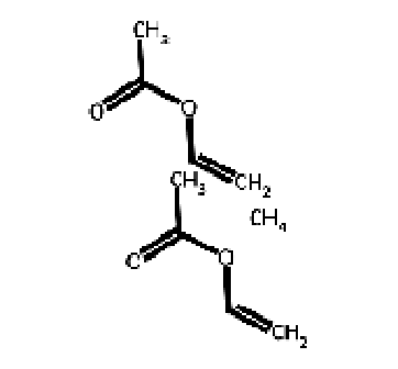 C.C=COC(C)=O.C=COC(C)=O